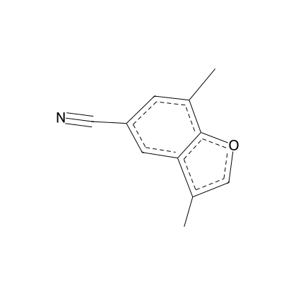 Cc1coc2c(C)cc(C#N)cc12